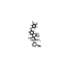 N#CN1CCCC(N/C(N)=C(\C(=N)c2ccc(Cc3ccc(F)c(F)c3)cc2)C(N)=O)C1